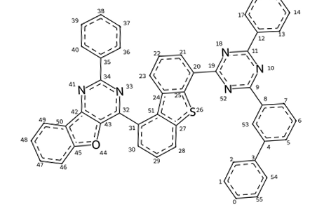 c1ccc(-c2cccc(-c3nc(-c4ccccc4)nc(-c4cccc5c4sc4cccc(-c6nc(-c7ccccc7)nc7c6oc6ccccc67)c45)n3)c2)cc1